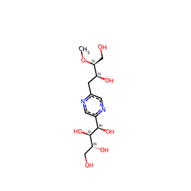 CO[C@@H](CO)[C@@H](O)Cc1cnc([C@@H](O)[C@H](O)[C@H](O)CO)cn1